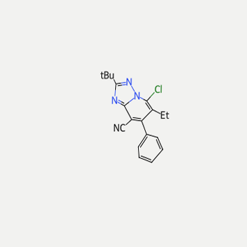 CCc1c(-c2ccccc2)c(C#N)c2nc(C(C)(C)C)nn2c1Cl